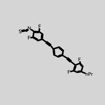 CCCc1cc(F)c(C#Cc2ccc(C#Cc3cc(F)c(N=C=S)c(F)c3)cc2)c(F)c1